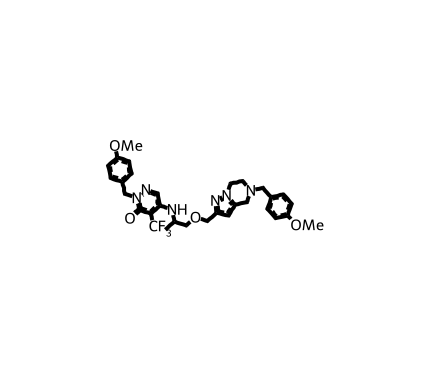 COc1ccc(CN2CCn3nc(COCC(C)Nc4cnn(Cc5ccc(OC)cc5)c(=O)c4C(F)(F)F)cc3C2)cc1